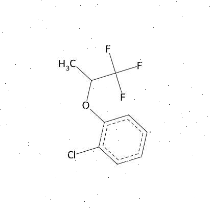 CC(Oc1c[c]ccc1Cl)C(F)(F)F